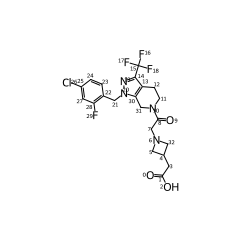 O=C(O)CC1CN(CC(=O)N2CCc3c(C(F)(F)F)nn(Cc4ccc(Cl)cc4F)c3C2)C1